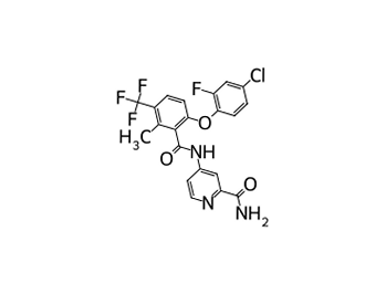 Cc1c(C(F)(F)F)ccc(Oc2ccc(Cl)cc2F)c1C(=O)Nc1ccnc(C(N)=O)c1